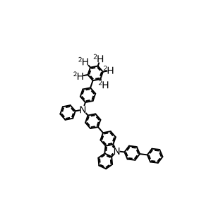 [2H]c1c([2H])c([2H])c(-c2ccc(N(c3ccccc3)c3ccc(-c4ccc5c(c4)c4ccccc4n5-c4ccc(-c5ccccc5)cc4)cc3)cc2)c([2H])c1[2H]